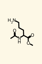 COC(=O)C(CCCN)NC(C)=O